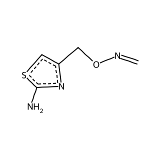 C=NOCc1csc(N)n1